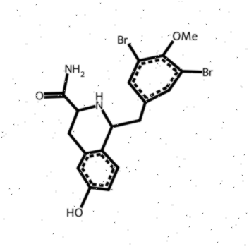 COc1c(Br)cc(CC2NC(C(N)=O)Cc3cc(O)[c]cc32)cc1Br